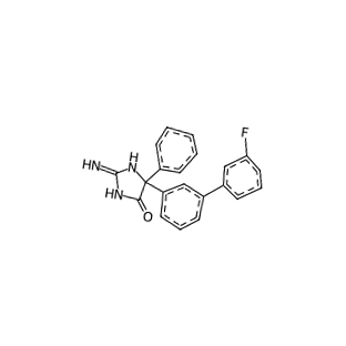 N=C1NC(=O)C(c2ccccc2)(c2cccc(-c3cccc(F)c3)c2)N1